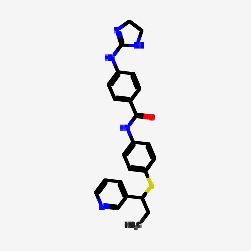 O=C(O)CC(Sc1ccc(NC(=O)c2ccc(NC3=NCCN3)cc2)cc1)c1cccnc1